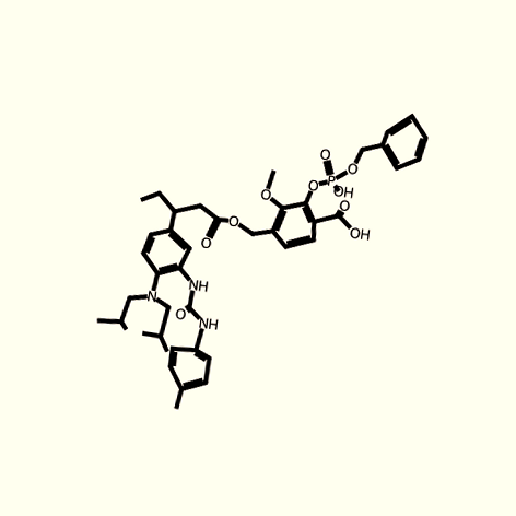 CCC(CC(=O)OCc1ccc(C(=O)O)c(OP(=O)(O)OCc2ccccc2)c1OC)c1ccc(N(CC(C)C)CC(C)C)c(NC(=O)Nc2ccc(C)cc2)c1